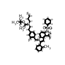 Cc1ccccc1-c1cc2c3c(F)nn(S(=O)(=O)c4ccccc4)c3ccc2n1Cc1ccc(CCN(CCCF)C(=O)OC(C)(C)C)cc1F